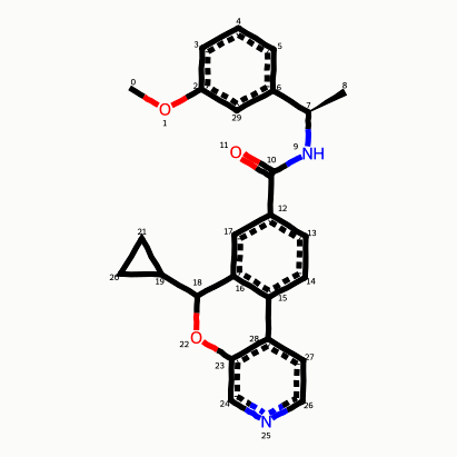 COc1cccc([C@@H](C)NC(=O)c2ccc3c(c2)C(C2CC2)Oc2cnccc2-3)c1